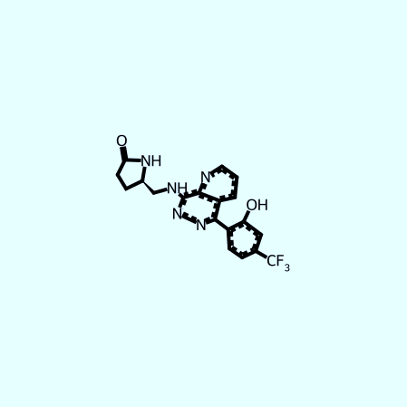 O=C1CC[C@H](CNc2nnc(-c3ccc(C(F)(F)F)cc3O)c3cccnc23)N1